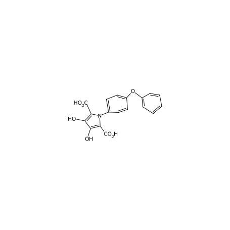 O=C(O)c1c(O)c(O)c(C(=O)O)n1-c1ccc(Oc2ccccc2)cc1